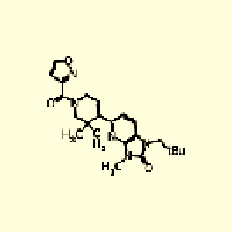 Cn1c(=O)n(CC(C)(C)C)c2ccc(C3=CCN(C(=O)c4ccon4)CC3(C)C)nc21